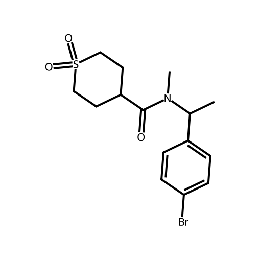 CC(c1ccc(Br)cc1)N(C)C(=O)C1CCS(=O)(=O)CC1